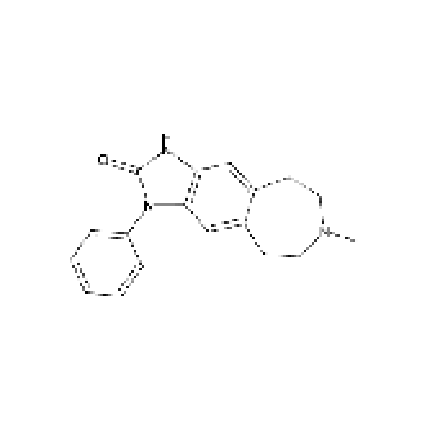 CN1CCc2cc3[nH]c(=O)n(-c4ccccc4)c3cc2CC1